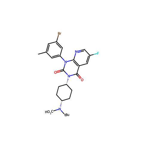 Cc1cc(Br)cc(-n2c(=O)n([C@H]3CC[C@@H](N(C(=O)O)C(C)(C)C)CC3)c(=O)c3cc(F)cnc32)c1